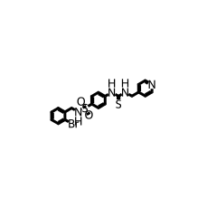 O=S(=O)(NCc1ccccc1Br)c1ccc(NC(=S)NCc2ccncc2)cc1